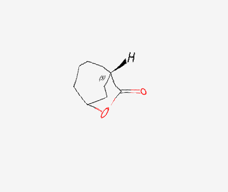 O=C1OC2CC[C@H]1C2